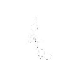 O=C1CN(c2cnc3ccccc3c2)C(=O)N1S(=O)(=O)c1ccc(Cl)cc1